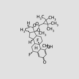 C[C@@H]1C[C@H]2[C@@H]3C[C@H](F)C4=CC(=O)C=C(O)[C@]4(C)[C@@]3(F)CC[C@]2(C)[C@@]1(OC(=O)C1C(C)(C)C1(C)C)C(=O)S